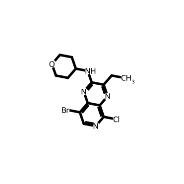 CCc1nc2c(Cl)ncc(Br)c2nc1NC1CCOCC1